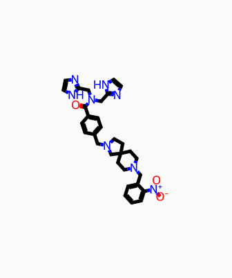 O=C(c1ccc(CN2CCC3(CCN(Cc4ccccc4[N+](=O)[O-])CC3)C2)cc1)N(Cc1ncc[nH]1)Cc1ncc[nH]1